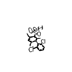 Cc1cc(C)c(S(=O)(=O)O)c(C)c1-c1c(Cl)cccc1Cl